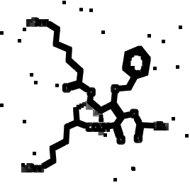 CCCCCCCCCCCCCCCC(=O)O[C@@H](CC(CCCCCCCCCCCCCC)C(=O)O)[C@H]1OC(=O)C(OC(=O)C(C)(C)C)=C1OCc1ccccc1